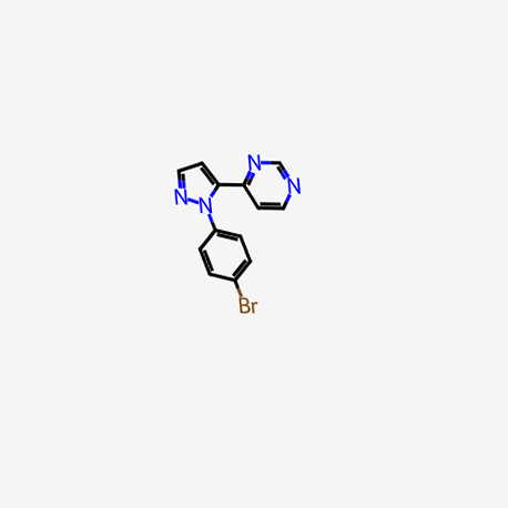 Brc1ccc(-n2nccc2-c2ccncn2)cc1